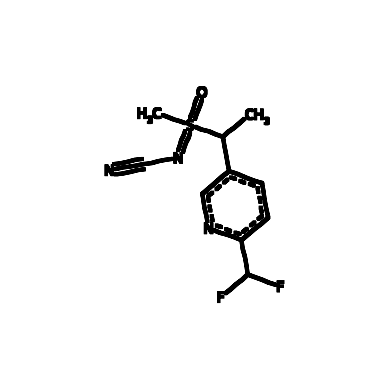 CC(c1ccc(C(F)F)nc1)S(C)(=O)=NC#N